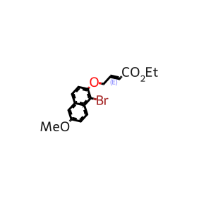 CCOC(=O)/C=C/COc1ccc2cc(OC)ccc2c1Br